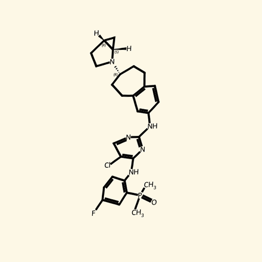 CP(C)(=O)c1cc(F)ccc1Nc1nc(Nc2ccc3c(c2)CC[C@H](N2CC[C@@H]4C[C@@H]42)CC3)ncc1Cl